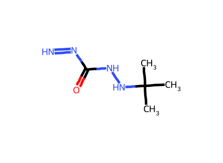 CC(C)(C)NNC(=O)N=N